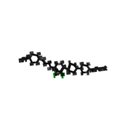 CCCCCC1CCC(C2CC=C(c3ccc(CCC=CC4CCC(CCC)CC4)c(F)c3F)CC2)CC1